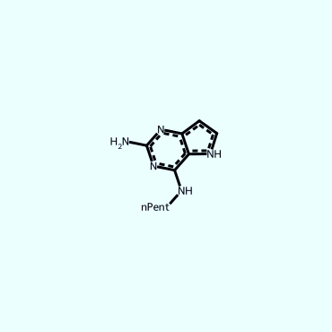 CCCCCNc1nc(N)nc2cc[nH]c12